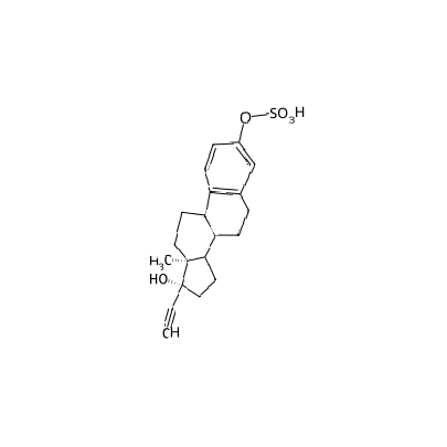 C#C[C@]1(O)CCC2C3CCc4cc(OS(=O)(=O)O)ccc4C3CC[C@@]21C